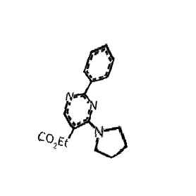 CCOC(=O)c1cnc(-c2ccccc2)nc1N1CCCC1